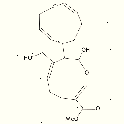 COC(=O)/C1=C/OC(O)C(C2/C=C\CC/C=C\CC2)/C(CO)=C\CC1